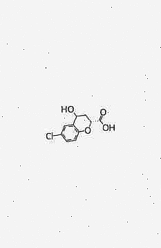 O=C(O)[C@H]1CC(O)c2cc(Cl)ccc2O1